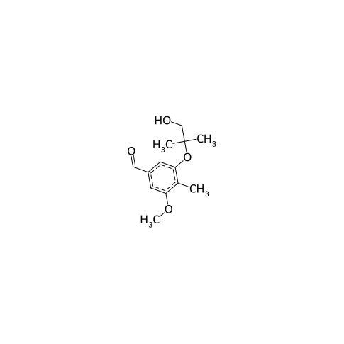 COc1cc(C=O)cc(OC(C)(C)CO)c1C